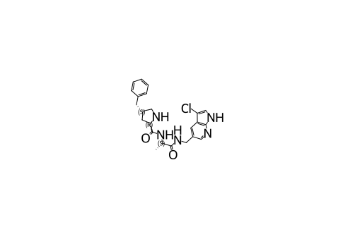 C[C@H](NC(=O)[C@H]1C[C@H](Cc2ccccc2)CN1)C(=O)NCc1cnc2[nH]cc(Cl)c2c1